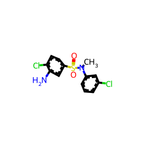 CN(c1cccc(Cl)c1)S(=O)(=O)c1ccc(Cl)c(N)c1